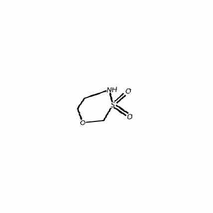 O=S1(=O)COCCN1